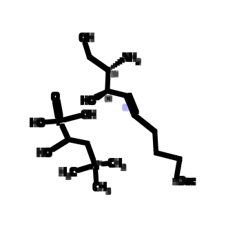 CCCCCCCCCCCCC/C=C/[C@@H](O)[C@@H](N)CO.C[N+](C)(C)CC(O)P(=O)(O)O